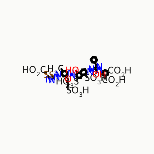 Cc1cc(N=Nc2c(S(=O)(=O)O)cc3c(S(=O)(=O)O)c(N=Nc4c(-c5ccccc5)nn(-c5cc(C(=O)O)cc(C(=O)O)c5)c4O)ccc3c2O)c(OCCCS(=O)(=O)O)cc1N=Nc1nnc(SCC(=O)O)s1